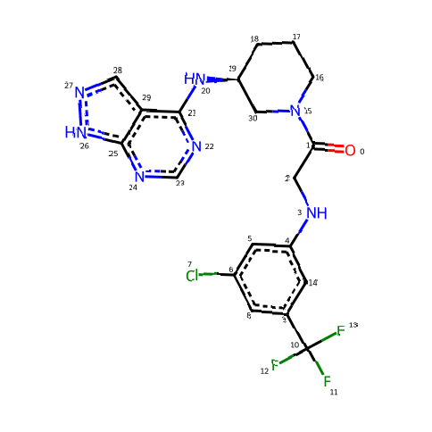 O=C(CNc1cc(Cl)cc(C(F)(F)F)c1)N1CCC[C@H](Nc2ncnc3[nH]ncc23)C1